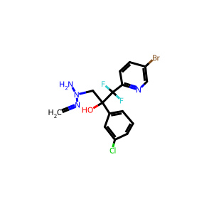 C=NN(N)CC(O)(c1cccc(Cl)c1)C(F)(F)c1ccc(Br)cn1